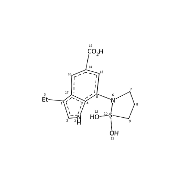 CCc1c[nH]c2c(N3CCCS3(O)O)cc(C(=O)O)cc12